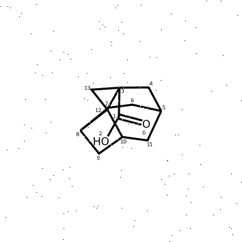 O=C(O)C12CC3CCC4CC(C3)C41C2